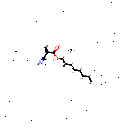 C=C(C#N)C(=O)OCCCCCCCC.[Zn]